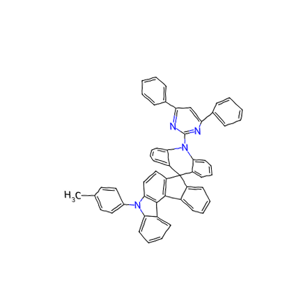 Cc1ccc(-n2c3ccccc3c3c4c(ccc32)C2(c3ccccc3-4)c3ccccc3N(c3nc(-c4ccccc4)cc(-c4ccccc4)n3)c3ccccc32)cc1